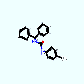 Cc1ccc(NC(=O)NC(c2ccccc2)c2ccccc2)cc1